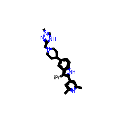 Cc1cc(-c2[nH]c3ccc(C4CCN(CC5=NN(C)CN5)CC4)cc3c2C(C)C)cc(C)n1